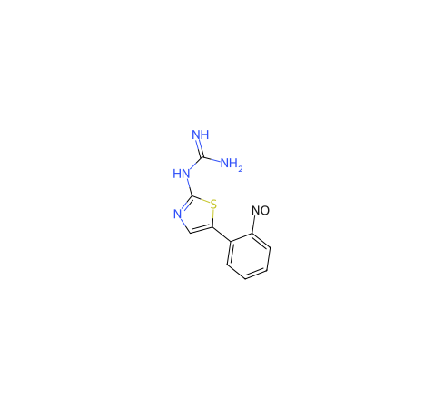 N=C(N)Nc1ncc(-c2ccccc2N=O)s1